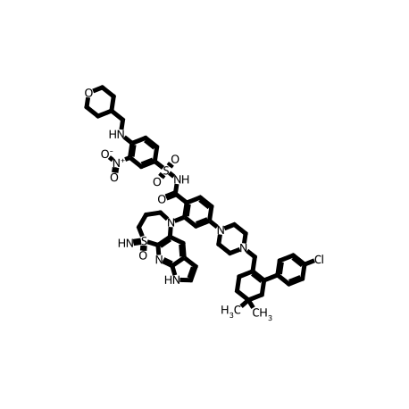 CC1(C)CCC(CN2CCN(c3ccc(C(=O)NS(=O)(=O)c4ccc(NCC5CCOCC5)c([N+](=O)[O-])c4)c(N4CCCS(=N)(=O)c5nc6[nH]ccc6cc54)c3)CC2)=C(c2ccc(Cl)cc2)C1